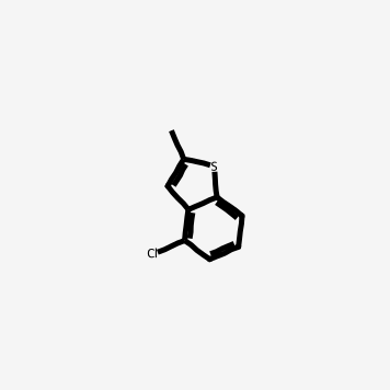 Cc1cc2c(Cl)cccc2s1